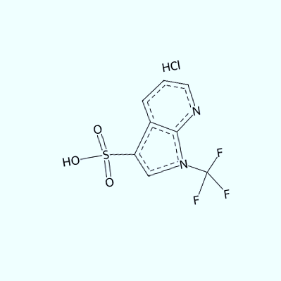 Cl.O=S(=O)(O)c1cn(C(F)(F)F)c2ncccc12